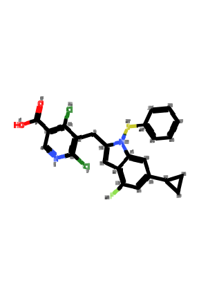 O=C(O)c1cnc(Cl)c(Cc2cc3c(F)cc(C4CC4)cc3n2Sc2ccccc2)c1Cl